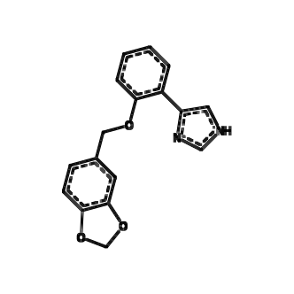 c1ccc(-c2c[nH]cn2)c(OCc2ccc3c(c2)OCO3)c1